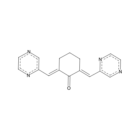 O=C1/C(=C/c2cnccn2)CCC/C1=C\c1cnccn1